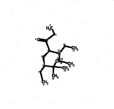 CCC(=O)[C@H](C[C@H](CC)C(C)(C)C)N(CC)CC